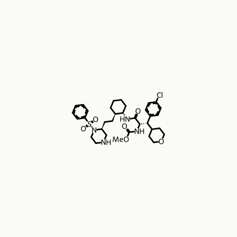 COC(=O)NC(C(=O)N[C@H]1CCCC[C@@H]1CC[C@H]1CNCCN1S(=O)(=O)c1ccccc1)[C@H](c1ccc(Cl)cc1)C1CCOCC1